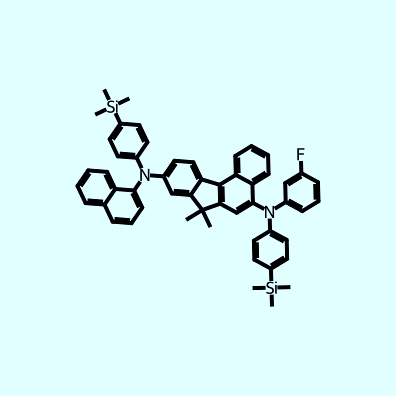 CC1(C)c2cc(N(c3ccc([Si](C)(C)C)cc3)c3cccc4ccccc34)ccc2-c2c1cc(N(c1ccc([Si](C)(C)C)cc1)c1cccc(F)c1)c1ccccc21